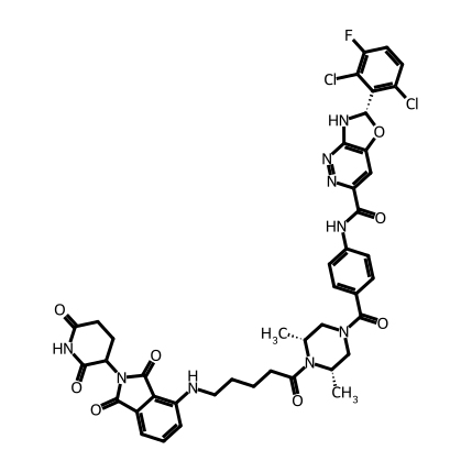 C[C@@H]1CN(C(=O)c2ccc(NC(=O)c3cc4c(nn3)N[C@H](c3c(Cl)ccc(F)c3Cl)O4)cc2)C[C@H](C)N1C(=O)CCCCNc1cccc2c1C(=O)N(C1CCC(=O)NC1=O)C2=O